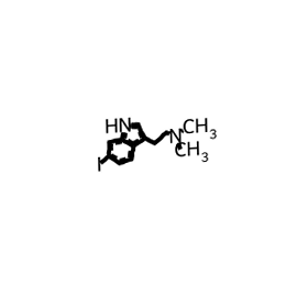 CN(C)CCc1c[nH]c2cc(I)ccc12